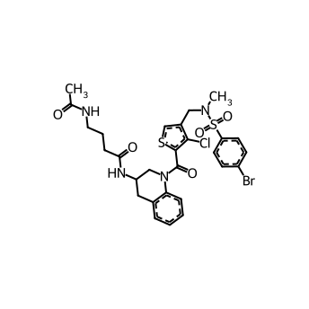 CC(=O)NCCCC(=O)NC1Cc2ccccc2N(C(=O)c2scc(CN(C)S(=O)(=O)c3ccc(Br)cc3)c2Cl)C1